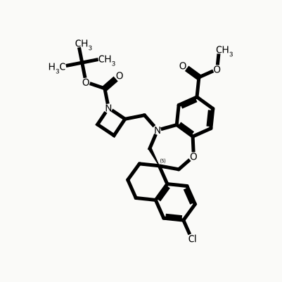 COC(=O)c1ccc2c(c1)N(CC1CCN1C(=O)OC(C)(C)C)C[C@@]1(CCCc3cc(Cl)ccc31)CO2